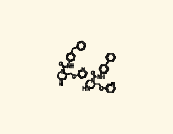 O=C(Nc1ccc(-c2ccccc2)cc1)N1CCNCC1COc1cccnc1.O=C(Nc1ccc(Cc2ccccc2)cc1)N1CCNCC1COc1cccnc1